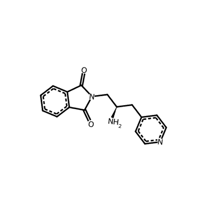 N[C@H](Cc1ccncc1)CN1C(=O)c2ccccc2C1=O